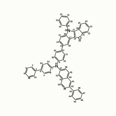 c1ccc(-c2ccc(N(c3ccc(-c4ccc5c(c4)c4oc6ccccc6c4n5-c4ccccc4)cc3)c3ccc4cc(-c5ccccc5)ccc4c3)cc2)cc1